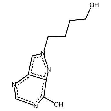 OCCCCn1cc2ncnc(O)c2n1